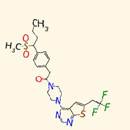 CCCC(c1ccc(CC(=O)N2CCN(c3ncnc4sc(CC(F)(F)F)cc34)CC2)cc1)S(C)(=O)=O